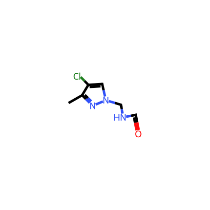 Cc1nn(CNC=O)cc1Cl